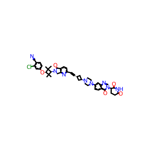 CC1(C)[C@H](Oc2ccc(C#N)c(Cl)c2)C(C)(C)[C@H]1N1Cc2nc(C#C[C@H]3C[C@H](N4CCN(c5ccc6c(=O)n(C7CCC(=O)NC7=O)cnc6c5)CC4)C3)ccc2C1=O